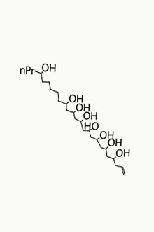 C=CCC(O)CC(O)CC(O)CC(O)CC(O)CC(O)CC(O)CCCCCC(O)CCC